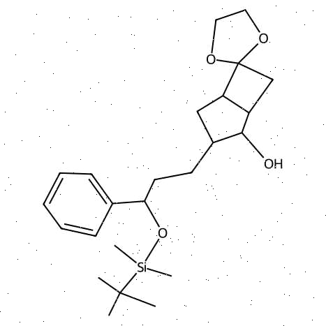 CC(C)(C)[Si](C)(C)OC(CCC1CC2C(CC23OCCO3)C1O)c1ccccc1